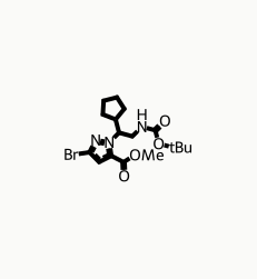 COC(=O)c1cc(Br)nn1C(CNC(=O)OC(C)(C)C)C1CCCC1